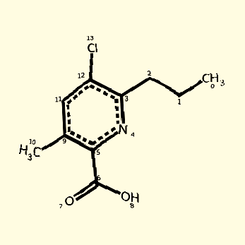 CCCc1nc(C(=O)O)c(C)cc1Cl